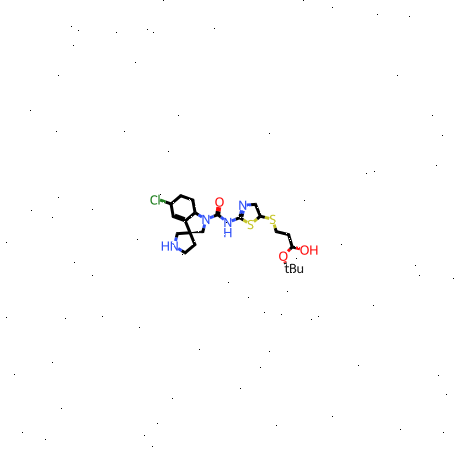 CC(C)(C)OC(O)CCSC1CN=C(NC(=O)N2C[C@]3(CCNC3)C3=CC(Cl)CCC32)S1